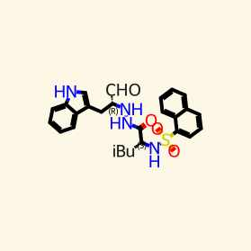 CCC(C)[C@H](NS(=O)(=O)c1cccc2ccccc12)C(=O)NN[C@@H](C=O)Cc1c[nH]c2ccccc12